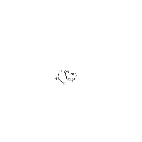 CCNCC.N.O=S(=O)(O)O